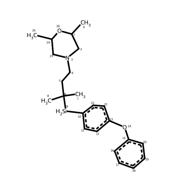 CC1CN(CCC(C)(C)[SiH2]c2ccc(Oc3ccccc3)cc2)CC(C)O1